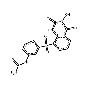 NC(=O)Nc1cccc(S(=O)(=O)c2cccc3c(=O)n(O)c(=O)[nH]c23)c1